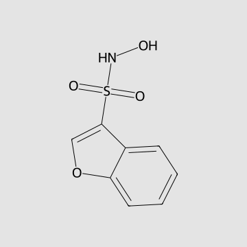 O=S(=O)(NO)c1coc2ccccc12